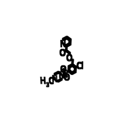 CN1CCN(S(=O)(=O)c2ccc(Cl)c(COCC(=O)c3ccccn3)c2)CC1